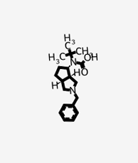 CC(C)(C)N(C(=O)O)[C@H]1CC[C@@H]2CN(Cc3ccccc3)C[C@@H]21